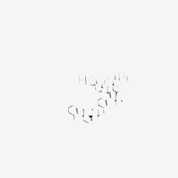 Cc1ccccc1-c1cccc(N2CCc3cc(-c4c(C)nc(C)c([C@H](OC(C)(C)C)C(=O)O)c4N4CCC(C)(C)CC4)ccc3C2)n1